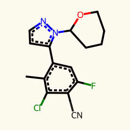 Cc1c(-c2ccnn2C2CCCCO2)cc(F)c(C#N)c1Cl